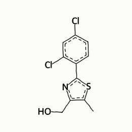 Cc1sc(-c2ccc(Cl)cc2Cl)nc1CO